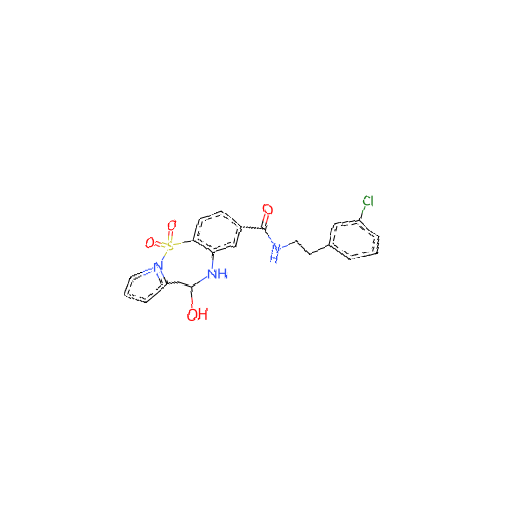 O=C(NCCc1cccc(Cl)c1)c1ccc2c(c1)NC(O)c1cccn1S2(=O)=O